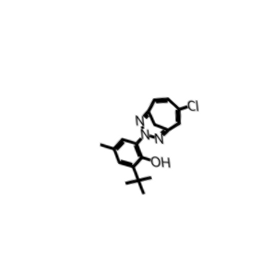 Cc1cc(N2N=C3C=CC(Cl)=CC(=N2)C3)c(O)c(C(C)(C)C)c1